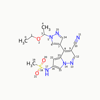 CCOC(C)n1cc(-c2c(C#N)cnn3cc(NS(C)(=O)=O)cc23)cn1